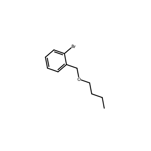 CCCCOCc1ccccc1Br